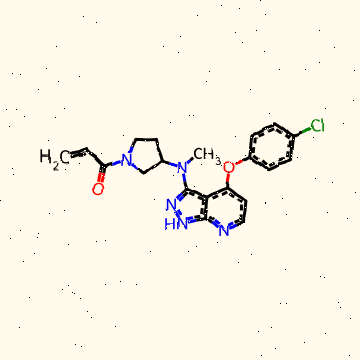 C=CC(=O)N1CCC(N(C)c2n[nH]c3nccc(Oc4ccc(Cl)cc4)c23)C1